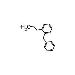 [CH2]CCc1ccccc1Cc1ccccc1